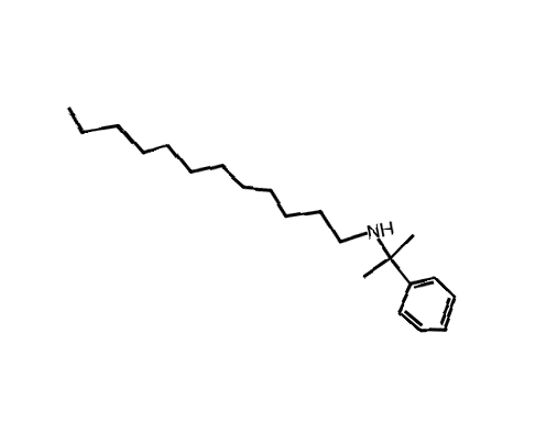 CCCCCCCCCCCCNC(C)(C)c1ccccc1